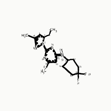 CCc1cc(C)nn1-c1nc(C)cc(NC2CCC(F)(F)CC2)n1